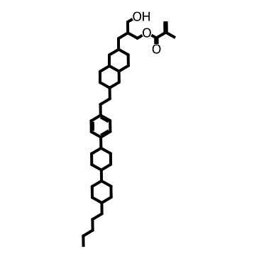 C=C(C)C(=O)OCC(CO)CC1CCC2CC(CCc3ccc(C4CCC(C5CCC(CCCCC)CC5)CC4)cc3)CCC2C1